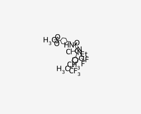 CCn1nc(C(=O)NCC2CCC(S(C)(=O)=O)CC2)c(Cl)c1-c1ccc(CC(C)(C)C(F)(F)F)cc1OC(F)F